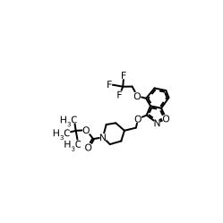 CC(C)(C)OC(=O)N1CCC(COc2noc3cccc(OCC(F)(F)F)c23)CC1